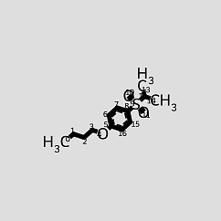 CCCCOc1ccc(S(=O)(=O)C(C)C)cc1